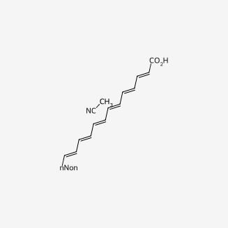 CC#N.CCCCCCCCCC=CC=CC=CC=CC=CC=CC(=O)O